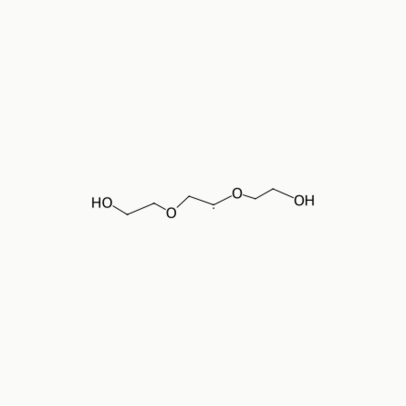 OCCO[CH]COCCO